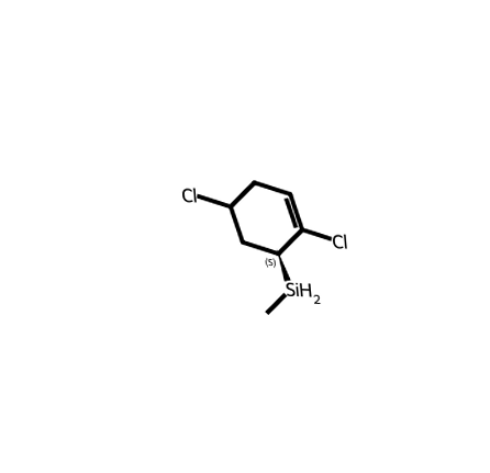 C[SiH2][C@H]1CC(Cl)CC=C1Cl